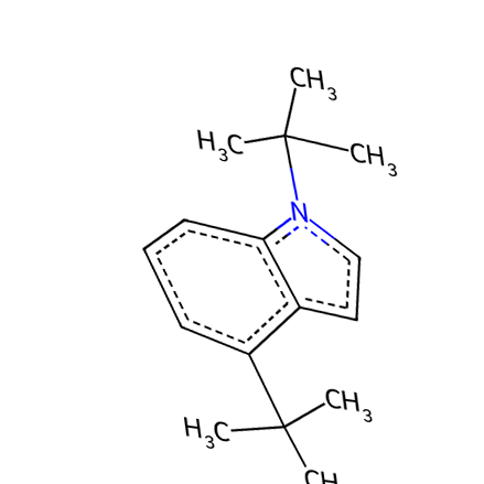 CC(C)(C)c1cccc2c1ccn2C(C)(C)C